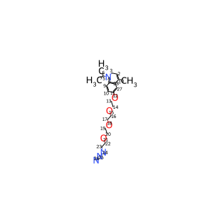 CC1=CCN(C(C)C)c2ccc(OCCOCCOCCOCCN=[N+]=[N-])cc21